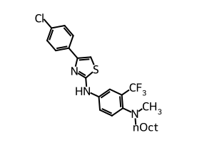 CCCCCCCCN(C)c1ccc(Nc2nc(-c3ccc(Cl)cc3)cs2)cc1C(F)(F)F